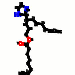 CCCCCCCCCCCCCCCC(=O)OCCCC(CCCCCCCCCCCCCC)C1=NCCN1